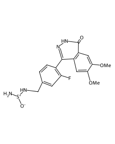 COc1cc2c(-c3ccc(CN[S+](N)[O-])cc3F)n[nH]c(=O)c2cc1OC